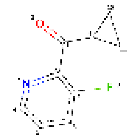 O=C(c1ncccc1F)C1CC1